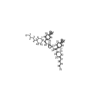 CCCCC[C@H]1CC[C@H](C(=CCOCC=C(c2ccc(Br)cc2)[C@H]2CC[C@H](CCCCC)CC2)c2ccc(Br)cc2)CC1